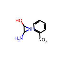 NC1NC1O.O=[N+]([O-])c1ccccc1